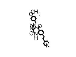 COc1ccc(Cn2nnc3c(=O)[nH]c4cc(C=Cc5ccncc5)ccc4c(=O)c32)cc1